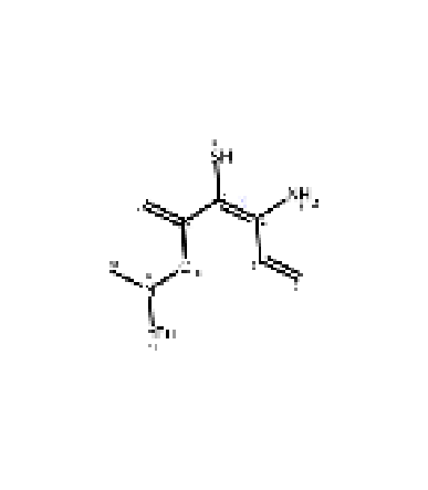 C=C/C(N)=C(/S)C(=C)ON(C)C(C)(C)C